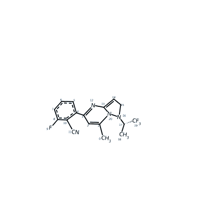 CC1=CC(c2cccc(F)c2C#N)=NC2=CCN([C@@H](C)C(F)(F)F)N12